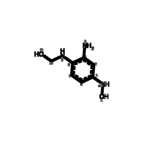 Nc1cc(NO)ccc1NCO